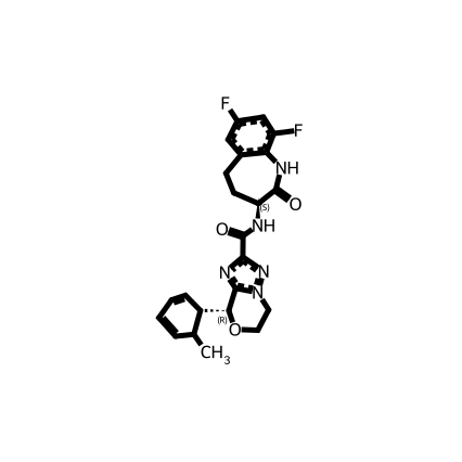 CC1C=CC=CC1[C@H]1OCCn2nc(C(=O)N[C@H]3CCc4cc(F)cc(F)c4NC3=O)nc21